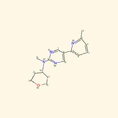 [CH2]c1cccc(-c2cnc(N(C)C3CCOCC3)nc2)n1